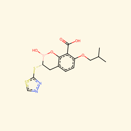 CC(C)COc1ccc2c(c1C(=O)O)OB(O)[C@@H](Sc1nncs1)C2